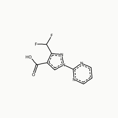 O=C(O)c1cn(-c2ncccn2)nc1C(F)F